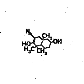 CC12CC(C#N)=C(O)C(C)(C)C1CCC(O)C2